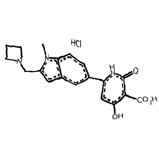 Cl.Cn1c(CN2CCC2)cc2cc(-c3cc(O)c(C(=O)O)c(=O)[nH]3)ccc21